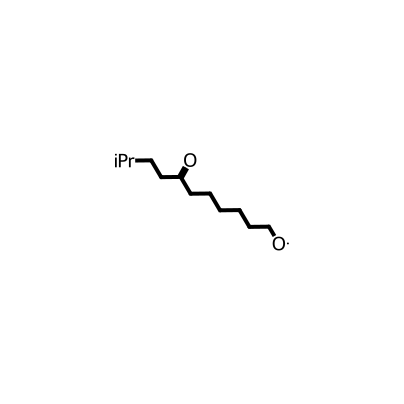 CC(C)CCC(=O)CCCCCC[O]